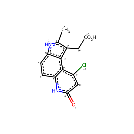 Cc1[nH]c2ccc3[nH]c(=O)cc(Cl)c3c2c1CC(=O)O